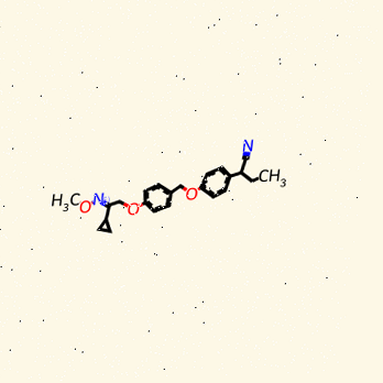 CCC(C#N)c1ccc(OCc2ccc(OC/C(=N/OC)C3CC3)cc2)cc1